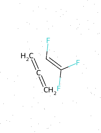 C=C=C.FC=C(F)F